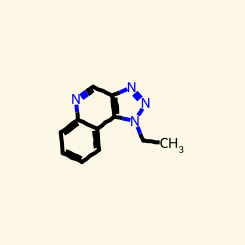 CCn1nnc2cnc3ccccc3c21